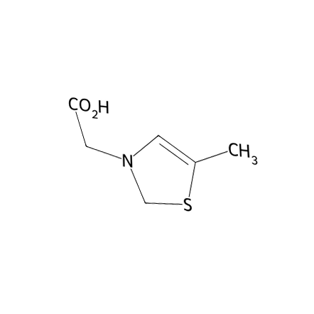 CC1=CN(CC(=O)O)CS1